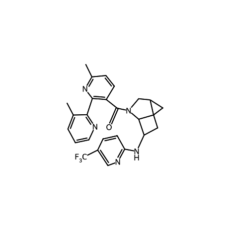 Cc1ccc(C(=O)N2CC3CC34CC(Nc3ccc(C(F)(F)F)cn3)C24)c(-c2ncccc2C)n1